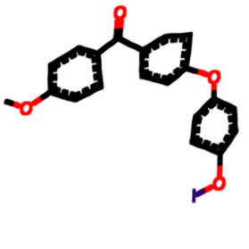 COc1ccc(C(=O)c2ccc(Oc3ccc(OI)cc3)cc2)cc1